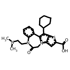 CN(C)CCN1C(=O)Cn2c(c(C3CCCCC3)c3sc(C(=O)O)cc32)-c2ccccc21